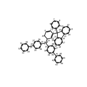 C1=CC(C2(c3ccccc3)c3ccccc3-c3ccccc32)=CC(N(c2ccc(-c3ccccc3)cc2)c2ccc(-c3ccccc3)cc2)C1